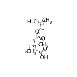 CCC(C)(CC(=O)O)CC(=O)OCC(C)C